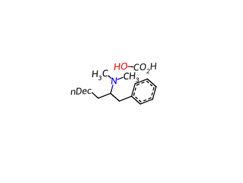 CCCCCCCCCCCC(Cc1ccccc1)N(C)C.O=C(O)O